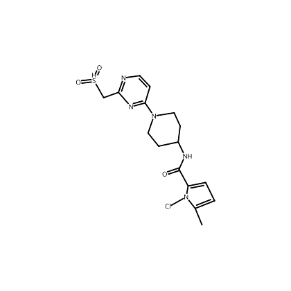 Cc1ccc(C(=O)NC2CCN(c3ccnc(C[SH](=O)=O)n3)CC2)n1Cl